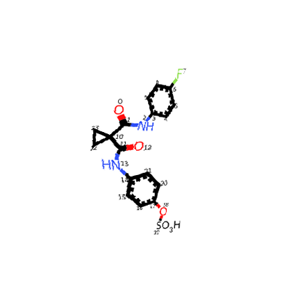 O=C(Nc1ccc(F)cc1)C1(C(=O)Nc2ccc(OS(=O)(=O)O)cc2)CC1